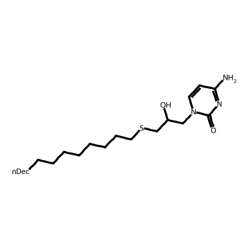 CCCCCCCCCCCCCCCCCCSCC(O)Cn1ccc(N)nc1=O